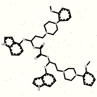 COc1ccccc1N1CCN(CCC(OC(=O)C(=O)OC(CCN2CCN(c3ccccc3OC)CC2)Oc2cccc3[nH]ccc23)Oc2cccc3[nH]ccc23)CC1